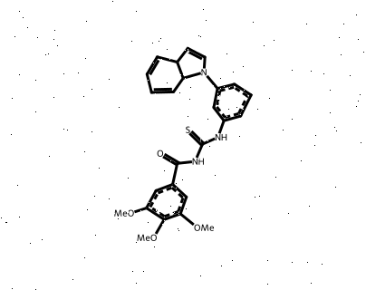 COc1cc(C(=O)NC(=S)Nc2cccc(N3C=CC4C=CC=CC43)c2)cc(OC)c1OC